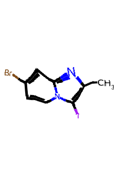 Cc1nc2cc(Br)ccn2c1I